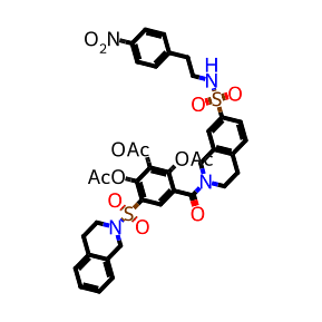 CC(=O)Oc1c(C(=O)N2CCc3ccc(S(=O)(=O)NCCc4ccc([N+](=O)[O-])cc4)cc3C2)cc(S(=O)(=O)N2CCc3ccccc3C2)c(OC(C)=O)c1OC(C)=O